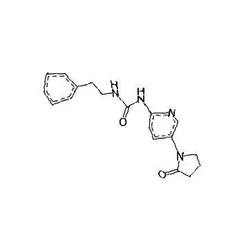 O=C(NCCc1ccccc1)Nc1ccc(N2CCCC2=O)cn1